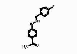 CC(=O)c1ccc(NNCc2ccc(F)cc2)cc1